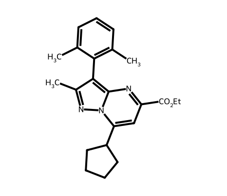 CCOC(=O)c1cc(C2CCCC2)n2nc(C)c(-c3c(C)cccc3C)c2n1